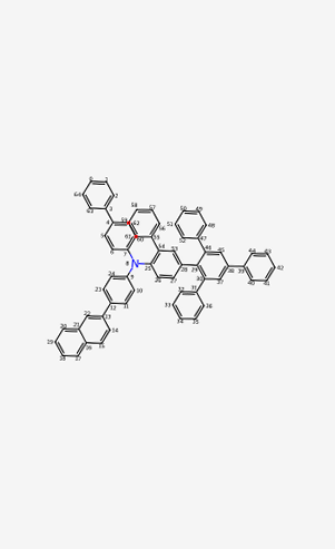 c1ccc(-c2ccc(N(c3ccc(-c4ccc5ccccc5c4)cc3)c3ccc(-c4c(-c5ccccc5)cc(-c5ccccc5)cc4-c4ccccc4)cc3-c3ccccc3)cc2)cc1